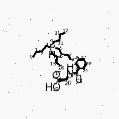 CCCC[PH](CCCC)(CCCC)CCCC.O=C(O)CNC(=O)c1ccccc1